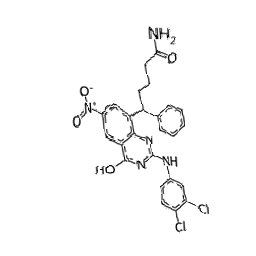 NC(=O)CCCC(c1ccccc1)c1cc([N+](=O)[O-])cc2c(O)nc(Nc3ccc(Cl)c(Cl)c3)nc12